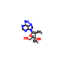 C[C@@H]1[C@H](n2cnc3c(N)ncnc32)O[C@](C)(CO)[C@H]1O